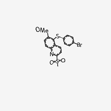 COc1ccc2nc(S(C)(=O)=O)ccc2c1Sc1ccc(Br)cc1